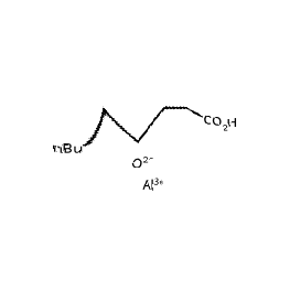 CCCCCCCC(=O)O.[Al+3].[O-2]